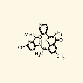 COC(=O)c1nc(Cl)ccc1N[C@H](C)c1cc(C)cc2c(=O)n(C)c(-c3ccncc3)nc12